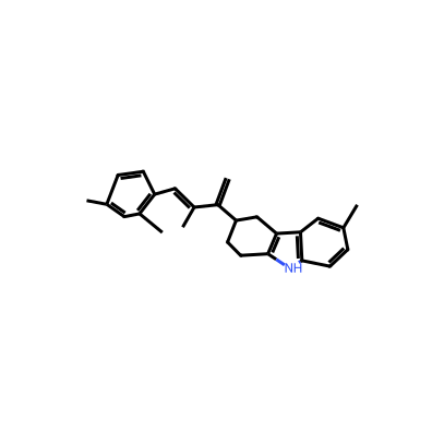 C=C(/C(C)=C/c1ccc(C)cc1C)C1CCc2[nH]c3ccc(C)cc3c2C1